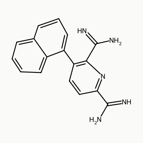 N=C(N)c1ccc(-c2cccc3ccccc23)c(C(=N)N)n1